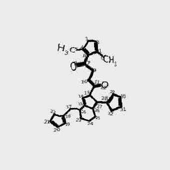 CC1=CCC(C)=C1C(=O)CCC(=O)C1C=C2C(CC3=CC=CC3)CCCC2C1C1=CC=CC1